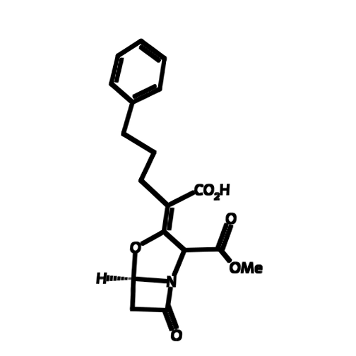 COC(=O)C1/C(=C(/CCCc2ccccc2)C(=O)O)O[C@@H]2CC(=O)N12